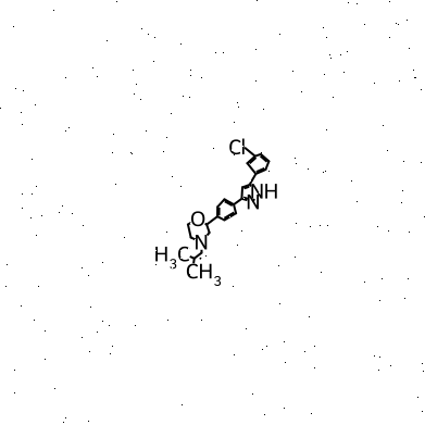 C[C](C)CN1CCOC(c2ccc(-c3cc(-c4cccc(Cl)c4)[nH]n3)cc2)C1